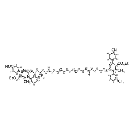 CCOC(=O)C1=C(C)N(c2cccc(C(F)(F)F)c2)C(SCCCCCNCCCOCCCCOCCCNCCCCCSC2=NC(c3ccc(C#N)cc3)C(C(=O)OCC)=C(C)N2c2cccc(C(F)(F)F)c2)=NC1c1ccc(C#N)cc1